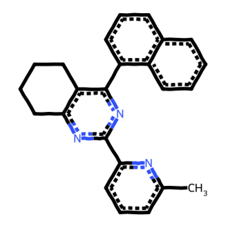 Cc1cccc(-c2nc3c(c(-c4cccc5ccccc45)n2)CCCC3)n1